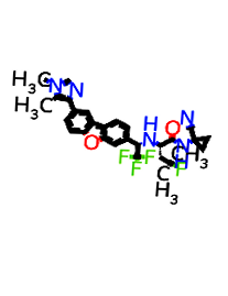 Cc1c(-c2ccc3oc4cc([C@H](N[C@@H](CC(C)(C)F)C(=O)NC5(C#N)CC5)C(F)(F)F)ccc4c3c2)ncn1C